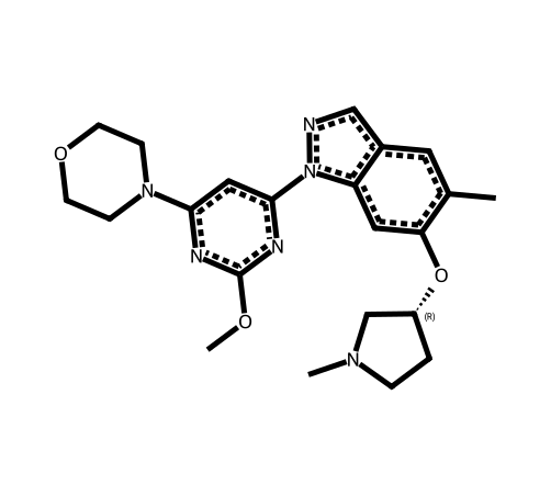 COc1nc(N2CCOCC2)cc(-n2ncc3cc(C)c(O[C@@H]4CCN(C)C4)cc32)n1